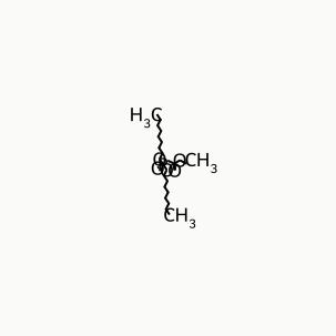 CCCCCCCCOP(=O)(CC(=O)OCC)OCCCCCCCC